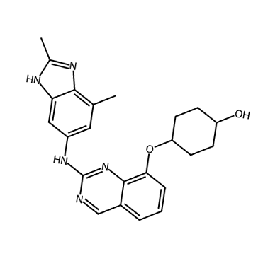 Cc1nc2c(C)cc(Nc3ncc4cccc(OC5CCC(O)CC5)c4n3)cc2[nH]1